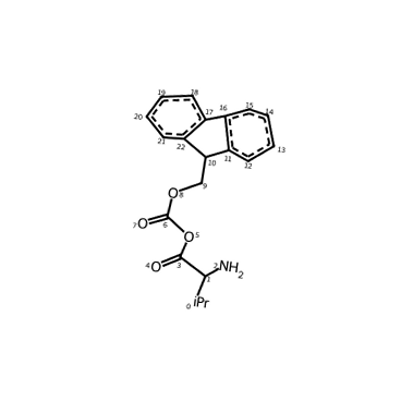 CC(C)C(N)C(=O)OC(=O)OCC1c2ccccc2-c2ccccc21